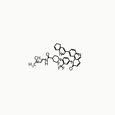 CN(C)CCNC(=O)C1CCN(c2ccc(-n3c(=O)ccc4cnc5ccc(-c6cnc7c(c6)CCC=C7)cc5c43)cc2C(F)(F)F)CC1